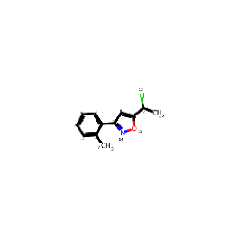 Cc1ccccc1-c1cc(C(C)Cl)on1